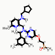 CCN(CC1CCCC1)c1ccc(OC)nc1CN(c1ncc(OCC[S+](C)[O-])cn1)C(C)c1cc(C)cc(C(F)(F)F)c1